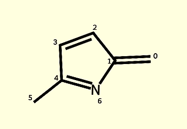 C=C1C=CC(C)=N1